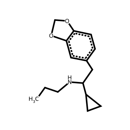 CCCNC(Cc1ccc2c(c1)OCO2)C1CC1